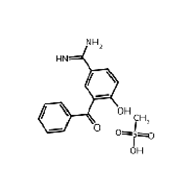 CS(=O)(=O)O.N=C(N)c1ccc(O)c(C(=O)c2ccccc2)c1